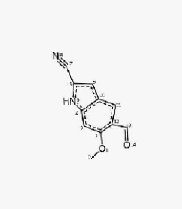 COc1cc2[nH]c(C#N)cc2cc1C=O